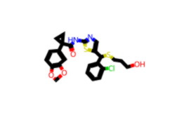 O=C(Nc1ncc(C(SCCCO)c2ccccc2Cl)s1)C1(c2ccc3c(c2)OCO3)CC1